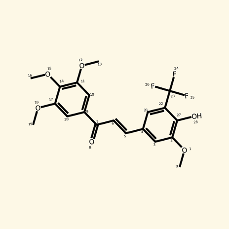 COc1cc(/C=C/C(=O)c2cc(OC)c(OC)c(OC)c2)cc(C(F)(F)F)c1O